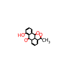 CC(=O)C1=CC=CC2C(=O)c3c(O)cccc3C(=O)C12